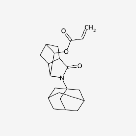 C=CC(=O)OC1C2CC3C(=O)N(C45CC6CC(CC(C6)C4)C5)C1C3C2